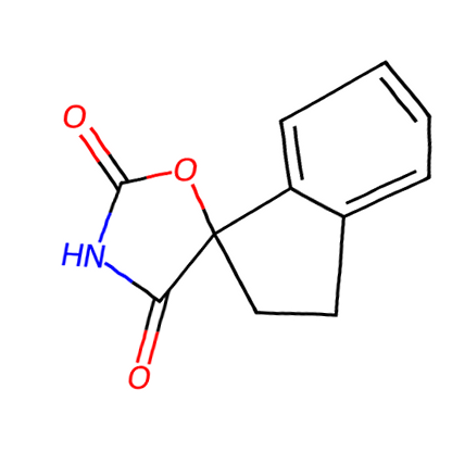 O=C1NC(=O)C2(CCc3ccccc32)O1